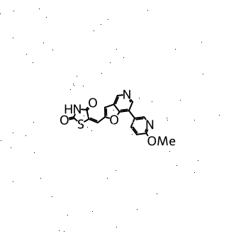 COc1ccc(-c2cncc3cc(/C=C4/SC(=O)NC4=O)oc23)cn1